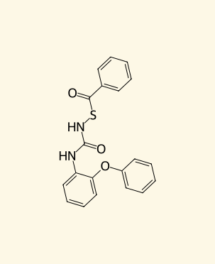 O=C(NSC(=O)c1ccccc1)Nc1ccccc1Oc1ccccc1